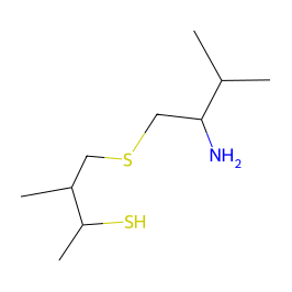 CC(C)C(N)CSCC(C)C(C)S